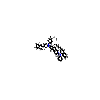 Cc1ccc(N(c2ccc(-c3ccc4ccccc4c3)cc2)c2ccc3c(c2)C(C)(C)c2cc(N(c4ccccc4)c4cccc5ccccc45)ccc2-3)cc1